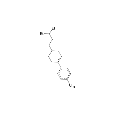 CCC(CC)CCC1CC=C(c2ccc(C(F)(F)F)cc2)CC1